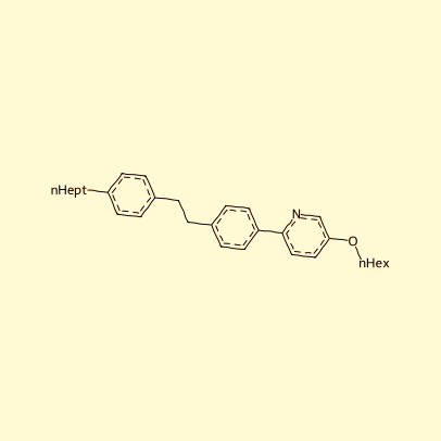 CCCCCCCc1ccc(CCc2ccc(-c3ccc(OCCCCCC)cn3)cc2)cc1